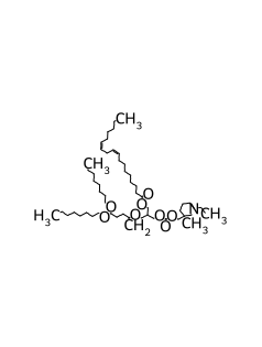 C=C(CCC(OCCCCCCCC)OCCCCCCCC)OCC(COC(=O)CCCCCCC/C=C\C/C=C\CCCCC)COC(=O)OCC1(C)CCCN(CC)C1